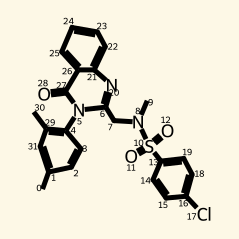 Cc1ccc(-n2c(CN(C)S(=O)(=O)c3ccc(Cl)cc3)nc3ccccc3c2=O)c(C)c1